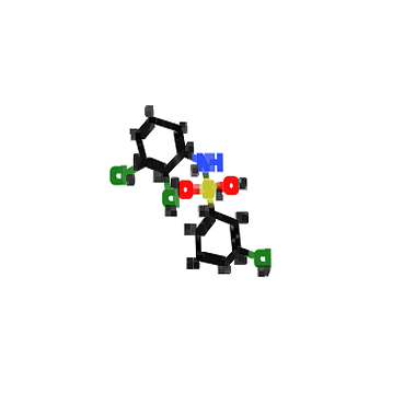 O=S(=O)(Nc1cccc(Cl)c1Cl)c1cccc(Cl)c1